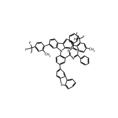 Cc1ccc(-c2ccc3c4ccc(-c5ccc(C(F)(F)F)cc5C)cc4n(-c4ccc(-c5ccc6sc7ccccc7c6c5)cc4-c4nc(-c5ccccc5)nc(-c5ccccc5)n4)c3c2)c(C(F)(F)F)c1